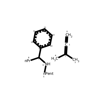 C=C=C(C)C.CCCCCNC(CCC)c1ccccc1